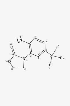 Nc1ccc(C(F)(F)F)cc1N1CCOC1=O